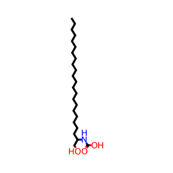 CCCCCCCCCCCCCCCCCCCCCC(CO)NC(=O)O